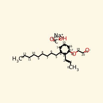 CC=Cc1c(CCCCCCCCC)cccc1OCC[O].O=[C-]O.[Na+]